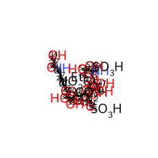 CCC1OC(OC2C(C(=O)O)OC(OC3C(O)CC(OC4C(C(=O)O)OC(OCCCCCCNC(=O)CCO)C(O)C4O)OC3COS(=O)(=O)O)C(O)C2O)C(NS(=O)(=O)O)C(O)C1O